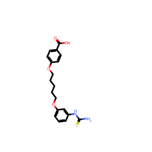 NC(=S)Nc1cccc(OCCCCCOc2ccc(C(=O)O)cc2)c1